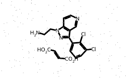 NCCn1nc(-c2cccc(Cl)c2Cl)c2cnccc21.O=C(O)C=CC(=O)O